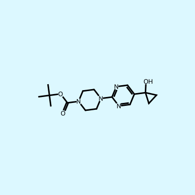 CC(C)(C)OC(=O)N1CCN(c2ncc(C3(O)CC3)cn2)CC1